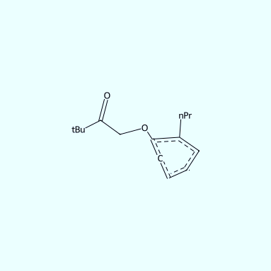 CCCc1c[c]ccc1OCC(=O)C(C)(C)C